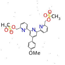 COc1ccc(-c2cc(-c3cccc(COS(C)(=O)=O)n3)nc(-c3cccc(COS(C)(=O)=O)n3)c2)cc1